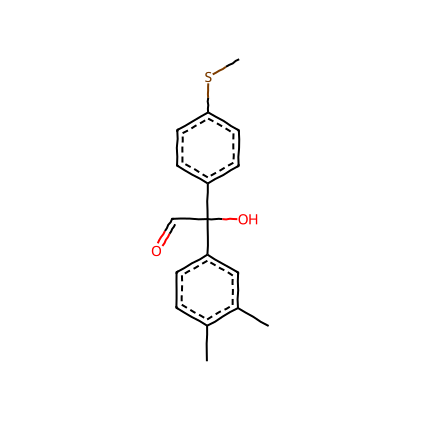 CSc1ccc(C(O)(C=O)c2ccc(C)c(C)c2)cc1